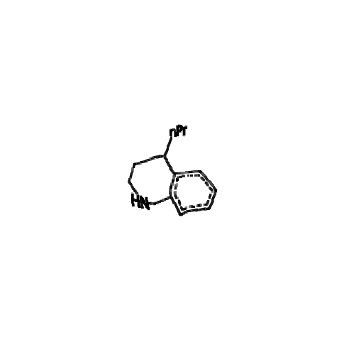 CCCC1CCNc2ccccc21